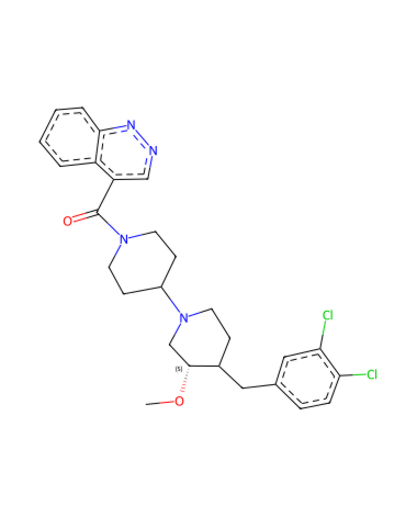 CO[C@@H]1CN(C2CCN(C(=O)c3cnnc4ccccc34)CC2)CCC1Cc1ccc(Cl)c(Cl)c1